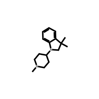 CN1CCC(N2CC(C)(C)c3ccccc32)CC1